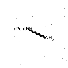 CCCCCNCCCCCCCCCN